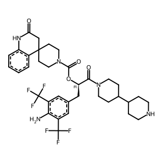 Nc1c(C(F)(F)F)cc(C[C@@H](OC(=O)N2CCC3(CC2)CC(=O)Nc2ccccc23)C(=O)N2CCC(C3CCNCC3)CC2)cc1C(F)(F)F